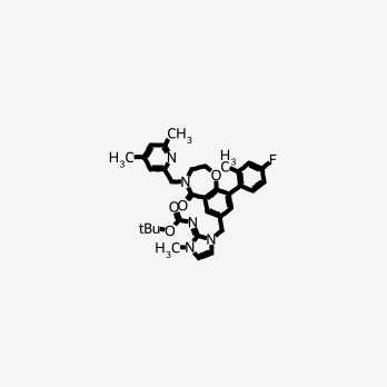 Cc1cc(C)nc(CN2CCOc3c(cc(Cn4ccn(C)c4=NC(=O)OC(C)(C)C)cc3-c3ccc(F)cc3C)C2=O)c1